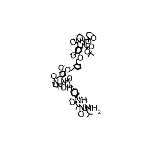 COc1cc2c(cc1OCc1cccc(COc3cc4c(cc3OC)C(=O)N3CCC[C@H]3[C@H](OC3CCCCO3)N4C(=O)OC(C)(C)C)c1)N(C(=O)OCc1ccc(NC(=O)[C@H](C)NC(=O)[C@@H](N)C(C)C)cc1)[C@@H](O)[C@@H]1CCCN1C2=O